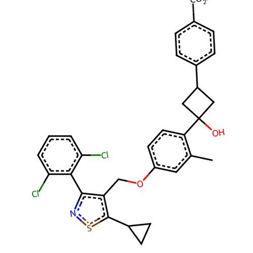 Cc1cc(OCc2c(-c3c(Cl)cccc3Cl)nsc2C2CC2)ccc1C1(O)CC(c2ccc(C(=O)O)cc2)C1